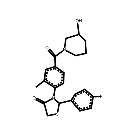 Cc1cc(C(=O)N2CCCC(O)C2)ccc1N1C(=O)CSC1c1ccc(F)cc1